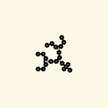 c1ccc(-c2cccc(-c3ccc4c(c3)Cc3cc(-c5cccc(-c6ccccc6)c5)ccc3N4c3ccc(-c4ccc5c(c4)c4cc(-c6ccc(-n7c8ccc(-c9cccc(-c%10ccccc%10)c9)cc8c8cc(-c9cccc(-c%10ccccc%10)c9)ccc87)cc6)ccc4n5-c4ccc(-c5c6ccccc6c(-c6ccccc6)c6ccccc56)cc4)cc3)c2)cc1